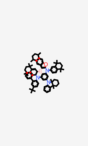 CC1(C)CCC(C)(C)C2=CC3C(C=C21)B1c2c(cc(N4c5ccccc5C5(C)CCCCC45C)cc2N3c2ccc(C(C)(C)C)cc2-c2ccccc2)N(c2ccc3c(c2)C(C)(C)CCC3(C)C)c2oc3cc4c(cc3c21)C1(C)CCC4(C)CC1